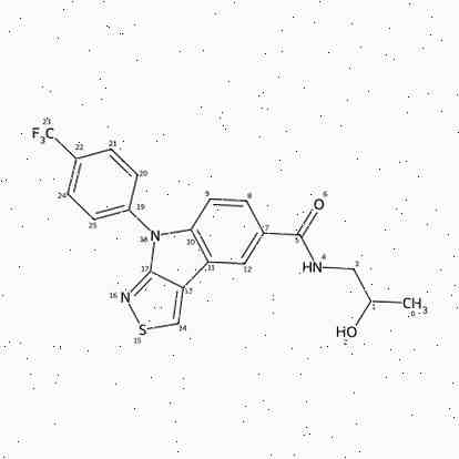 CC(O)CNC(=O)c1ccc2c(c1)c1csnc1n2-c1ccc(C(F)(F)F)cc1